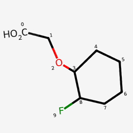 O=C(O)COC1CCCCC1F